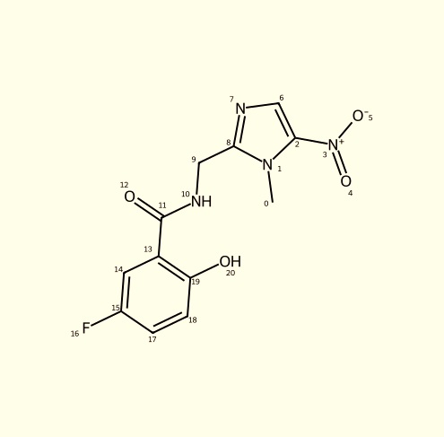 Cn1c([N+](=O)[O-])cnc1CNC(=O)c1cc(F)ccc1O